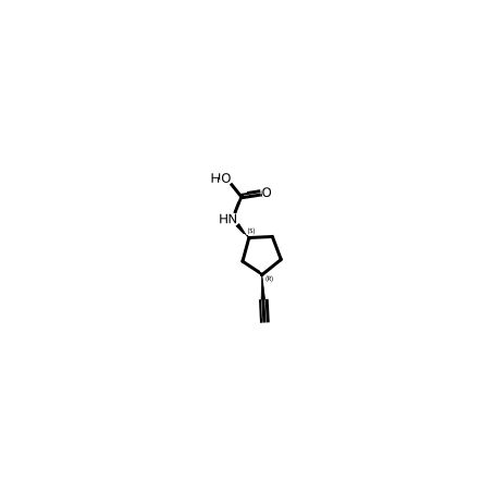 C#C[C@@H]1CC[C@H](NC(=O)O)C1